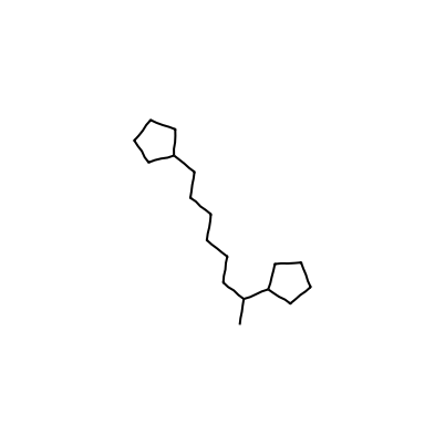 CC(CCCCCCC1CCCC1)C1CCCC1